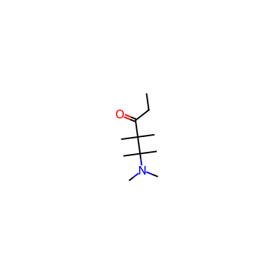 CCC(=O)C(C)(C)C(C)(C)N(C)C